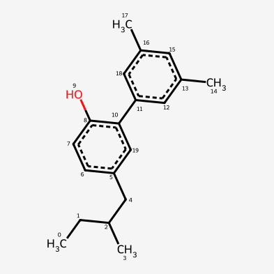 CCC(C)Cc1ccc(O)c(-c2cc(C)cc(C)c2)c1